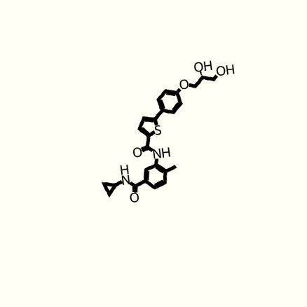 Cc1ccc(C(=O)NC2CC2)cc1NC(=O)c1ccc(-c2ccc(OC[C@H](O)CO)cc2)s1